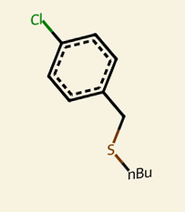 CCCCSCc1ccc(Cl)cc1